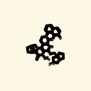 CN1C(=O)C2C3CCC(CN2C2=C1C(OC[C@@]14CCCN1C[C@H](F)C4)NC1=C2CCN(c2cccc4ccc(F)c(Cl)c24)C1)N3